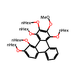 CCCCCCOc1ccc2c3ccccc3c3c(OCCCCCC)c(OOC)c(OCCCCCC)c(OCCCCCC)c3c2c1OCCCCCC